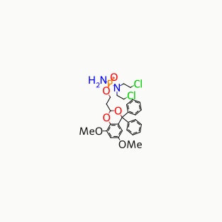 COc1cc(OC)c2c(c1)C(c1ccccc1)(c1ccccc1)OC(CCOP(N)(=O)N(CCCl)CCCl)O2